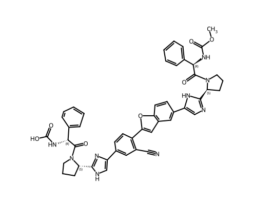 COC(=O)N[C@@H](C(=O)N1CCC[C@H]1c1ncc(-c2ccc3oc(-c4ccc(-c5c[nH]c([C@@H]6CCCN6C(=O)[C@H](NC(=O)O)c6ccccc6)n5)cc4C#N)cc3c2)[nH]1)c1ccccc1